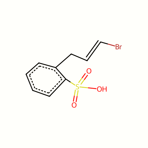 O=S(=O)(O)c1ccccc1CC=CBr